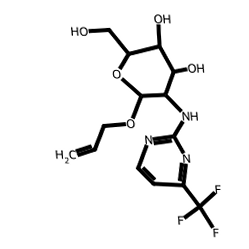 C=CCOC1OC(CO)C(O)C(O)C1Nc1nccc(C(F)(F)F)n1